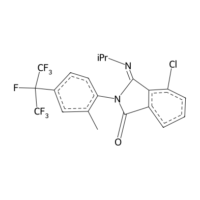 Cc1cc(C(F)(C(F)(F)F)C(F)(F)F)ccc1N1C(=O)c2cccc(Cl)c2C1=NC(C)C